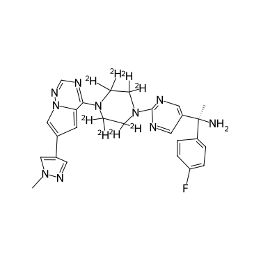 [2H]C1([2H])N(c2ncc([C@@](C)(N)c3ccc(F)cc3)cn2)C([2H])([2H])C([2H])([2H])N(c2ncnn3cc(-c4cnn(C)c4)cc23)C1([2H])[2H]